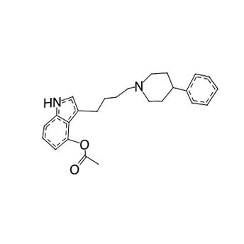 CC(=O)Oc1cccc2[nH]cc(CCCCN3CCC(c4ccccc4)CC3)c12